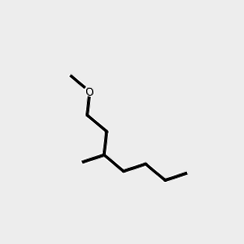 CCCCC(C)CCOC